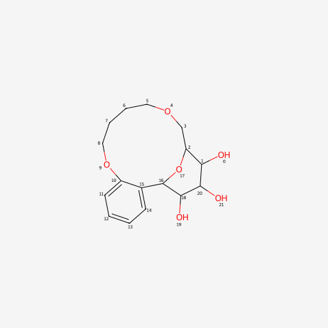 OC1C2COCCCCOc3ccccc3C(O2)C(O)C1O